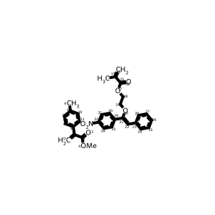 C=C(C(=O)OC)c1ccc(C)cc1.C=C(C)C(=O)OCCOC(=Cc1ccccc1)c1ccc([N+](=O)[O-])cc1